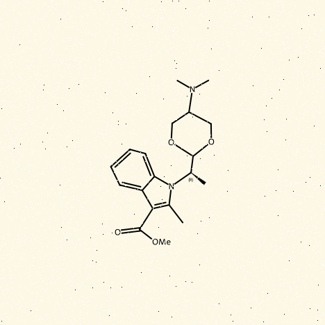 COC(=O)c1c(C)n([C@H](C)C2OCC(N(C)C)CO2)c2ccccc12